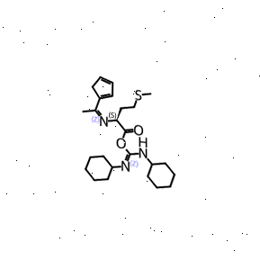 CSCC[C@H](/N=C(/C)C1=CC=CC1)C(=O)O/C(=N\C1CCCCC1)NC1CCCCC1